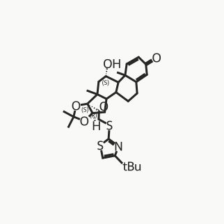 CC1(C)O[C@@H]2CC3C4CCC5=CC(=O)C=CC5(C)C4[C@@H](O)CC3(C)[C@]2(C(=O)CSc2nc(C(C)(C)C)cs2)O1